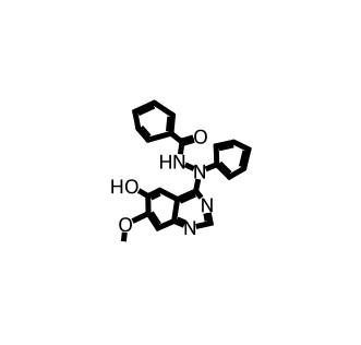 COc1cc2ncnc(N(NC(=O)c3ccccc3)c3ccccc3)c2cc1O